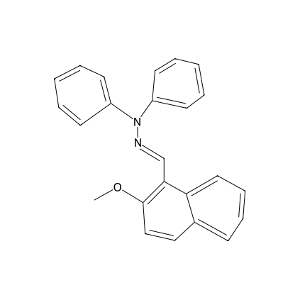 COc1ccc2ccccc2c1C=NN(c1ccccc1)c1ccccc1